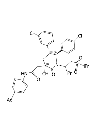 CC(=O)c1ccc(NC(=O)C[C@@]2(C)C[C@H](c3cccc(Cl)c3)[C@@H](c3ccc(Cl)cc3)N(C(CS(=O)(=O)C(C)C)C(C)C)C2=O)cc1